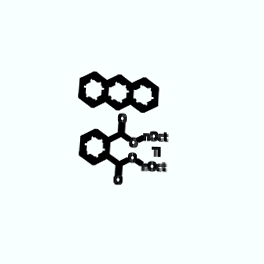 CCCCCCCCOC(=O)c1ccccc1C(=O)OCCCCCCCC.[Ti].c1ccc2cc3ccccc3cc2c1